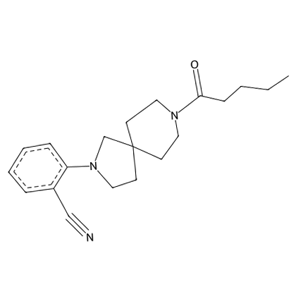 CCCCC(=O)N1CCC2(CC1)CCN(c1ccccc1C#N)C2